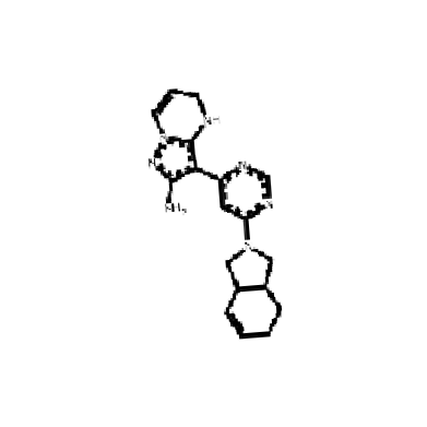 Nc1nn2c(c1-c1cc(N3CC4C=CCCC4C3)ncn1)NCC=C2